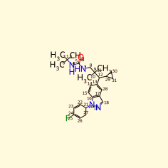 CC(C)(C)NC(=O)NCC(C)(C)C(c1ccc2c(cnn2C2C=CC(F)=CC2)c1)C1CC1